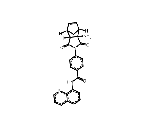 N[C@@]12C(=O)N(c3ccc(C(=O)Nc4cccc5cccnc45)cc3)C(=O)[C@@H]1[C@@H]1C=C[C@H]2C1